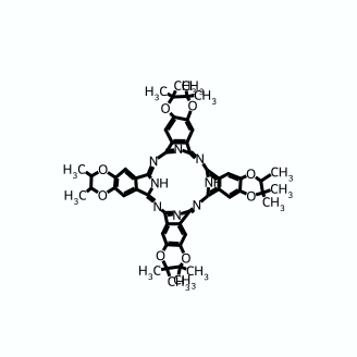 CC1Oc2cc3c4nc5nc(nc6[nH]c(nc7nc(nc([nH]4)c3cc2OC1C)-c1cc2c(cc1-7)OC(C)(C)C(C)(C)O2)c1cc2c(cc61)OC(C)C(C)(C)O2)-c1cc2c(cc1-5)OC(C)(C)C(C)(C)O2